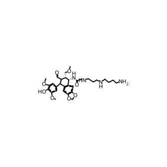 COC[C@H]1C(C=O)C(c2cc(OC)c(O)c(OC)c2)c2cc3c(cc2[C@H]1NC(=O)CNCCCNCCCCN)OCO3